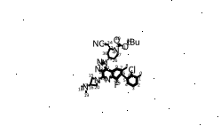 Cc1cccc(-c2c(C)cc3c(nc(N4CC(N(C)C)C4)c4nnn([C@H]5CCN(C(=O)OC(C)(C)C)[C@H](CC#N)C5)c43)c2F)c1Cl